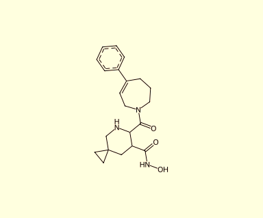 O=C(NO)C1CC2(CC2)CNC1C(=O)N1CC=C(c2ccccc2)CCC1